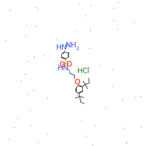 CCC(C)(C)c1ccc(OCCCCNS(=O)(=O)c2ccc(NN)cc2)c(C(C)(C)CC)c1.Cl